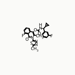 Cc1nnc(-n2c(C)c(OC(=O)N[C@H](c3cccc(F)c3)C3CC3)c3cccc(F)c3c2=O)s1